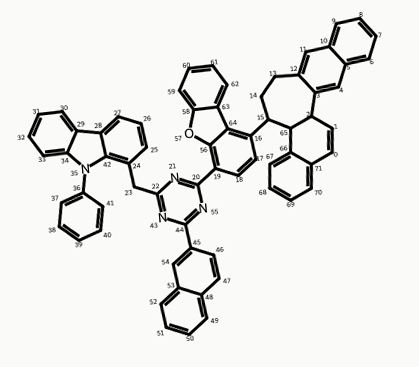 C1=CC2c3cc4ccccc4cc3CCC(c3ccc(-c4nc(Cc5cccc6c7ccccc7n(-c7ccccc7)c56)nc(-c5ccc6ccccc6c5)n4)c4oc5ccccc5c34)C2c2ccccc21